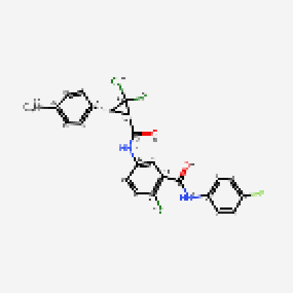 O=C(Nc1ccc(F)cc1)c1cc(NC(=O)[C@H]2[C@H](c3ccc([N+](=O)[O-])cc3)C2(Cl)Cl)ccc1Cl